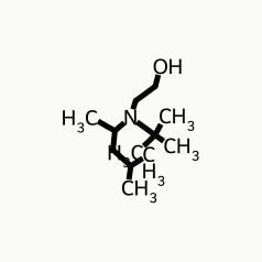 CC(C)CC(C)N(CCO)C(C)(C)C